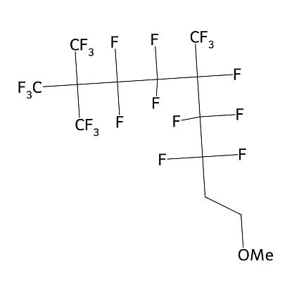 COCCC(F)(F)C(F)(F)C(F)(C(F)(F)F)C(F)(F)C(F)(F)C(C(F)(F)F)(C(F)(F)F)C(F)(F)F